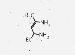 CCC(N)/C=C(/C)N